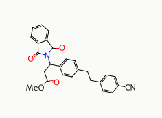 COC(=O)CC(c1ccc(CCc2ccc(C#N)cc2)cc1)N1C(=O)c2ccccc2C1=O